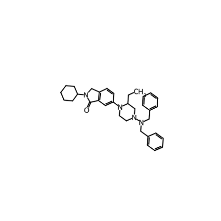 CCC1CN(N(Cc2ccccc2)Cc2ccccc2)CCN1c1ccc2c(c1)C(=O)N(C1CCCCC1)C2